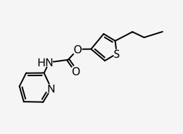 CCCc1cc(OC(=O)Nc2ccccn2)cs1